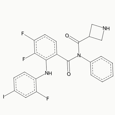 O=C(c1ccc(F)c(F)c1Nc1ccc(I)cc1F)N(C(=O)C1CNC1)c1ccccc1